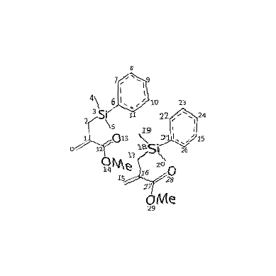 C=C(C[Si](C)(C)c1ccccc1)C(=O)OC.C=C(C[Si](C)(C)c1ccccc1)C(=O)OC